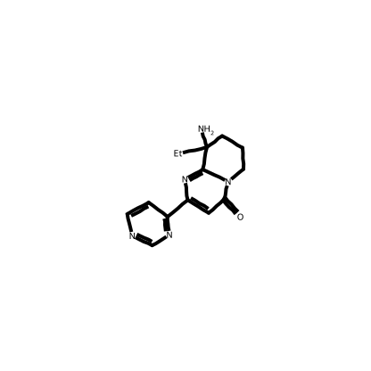 CCC1(N)CCCn2c1nc(-c1ccncn1)cc2=O